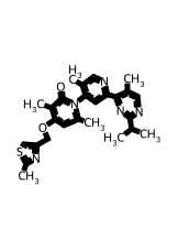 Cc1nc(COc2cc(C)n(-c3cc(-c4nc(C(C)C)ncc4C)ncc3C)c(=O)c2C)cs1